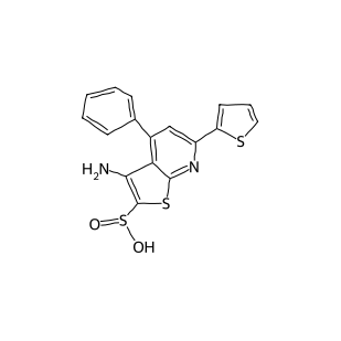 Nc1c(S(=O)O)sc2nc(-c3cccs3)cc(-c3ccccc3)c12